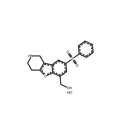 Cl.O=S(=O)(c1ccccc1)c1cc(CO)c2oc3c(c2c1)CNCC3